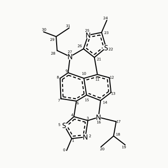 Cc1nc2c(s1)-c1ccc3c4c(ccc(c14)N2CC(C)C)-c1sc(C)nc1N3CC(C)C